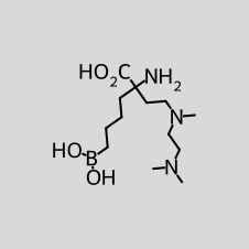 CN(C)CCN(C)CCC(N)(CCCCB(O)O)C(=O)O